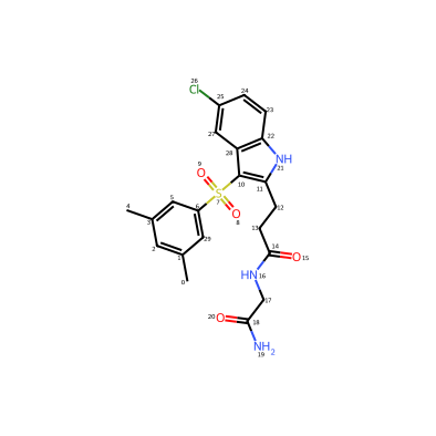 Cc1cc(C)cc(S(=O)(=O)c2c(CCC(=O)NCC(N)=O)[nH]c3ccc(Cl)cc23)c1